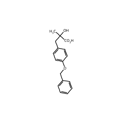 CC(O)(Cc1ccc(OCc2ccccc2)cc1)C(=O)O